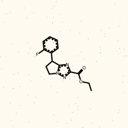 CCOC(=O)c1nc2n(n1)CCC2c1ccccc1F